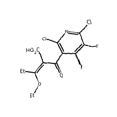 CCOC(CC)=C(C(=O)O)C(=O)c1c(Cl)nc(Cl)c(F)c1I